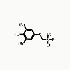 CC[Si](CC)(CC)CSc1cc(C(C)(C)C)c(O)c(C(C)(C)C)c1